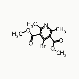 COC(=O)c1c(C)nc(C)c(C(=O)OC)c1Br